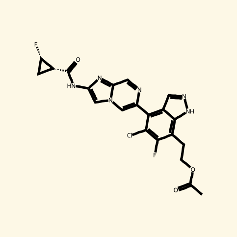 CC(=O)OCCc1c(F)c(Cl)c(-c2cn3cc(NC(=O)[C@@H]4C[C@@H]4F)nc3cn2)c2cn[nH]c12